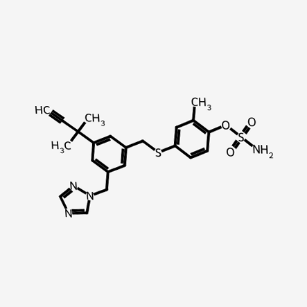 C#CC(C)(C)c1cc(CSc2ccc(OS(N)(=O)=O)c(C)c2)cc(Cn2cncn2)c1